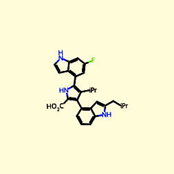 CC(C)Cc1cc2c(-c3c(C(=O)O)[nH]c(-c4cc(F)cc5[nH]ccc45)c3C(C)C)cccc2[nH]1